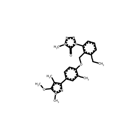 CCc1cccc(-n2nnn(C)c2=O)c1COc1ccc(-c2nn(C)c(OC)c2C)cc1C